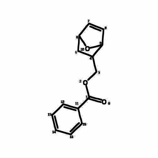 O=C(OCC1CC2C=CC1O2)c1ccccc1